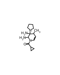 CC1C=CN(C(=O)C2CC2)C(N)C1(N)N1CCCC1